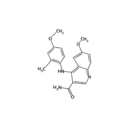 COc1ccc(Nc2c(C(N)=O)cnc3ccc(OC)cc23)c(C)c1